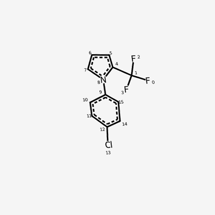 FC(F)(F)c1cccn1-c1ccc(Cl)cc1